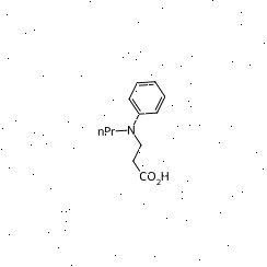 CCCN(CCC(=O)O)c1ccccc1